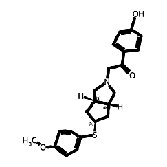 COc1ccc(S[C@H]2C[C@@H]3CN(CC(=O)c4ccc(O)cc4)C[C@@H]3C2)cc1